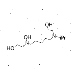 CC(C)N(CCO)CCCCCN(O)CCO